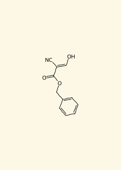 N#CC(=CO)C(=O)OCc1ccccc1